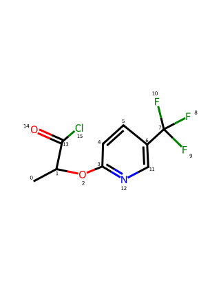 CC(Oc1ccc(C(F)(F)F)cn1)C(=O)Cl